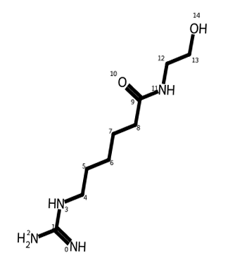 N=C(N)NCCCCCC(=O)NCCO